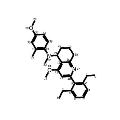 CCc1cccc(CC)c1-c1cc(OC)c2c(n1)CCCC2N(C)c1ccc(OC)cc1C